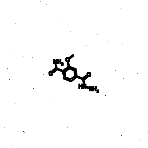 COc1cc(C(=O)NN)ccc1C(N)=O